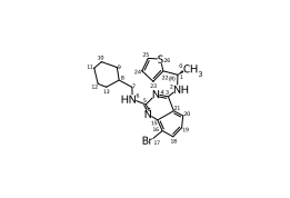 C[C@@H](Nc1nc(NCC2CCCCC2)nc2c(Br)cccc12)c1cccs1